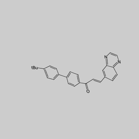 CC(C)(C)c1ccc(-c2ccc(C(=O)C=Cc3ccc4nccnc4c3)cc2)cc1